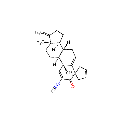 [C-]#[N+]C1=C[C@@]2(C)C(=CC[C@@H]3[C@@H]2CC[C@]2(C)C(=C)CC[C@@H]32)C2(CC=CC2)C1=O